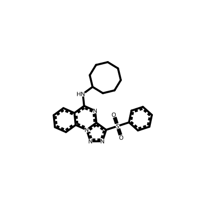 O=S(=O)(c1ccccc1)c1nnn2c1nc(NC1CCCCCCC1)c1ccccc12